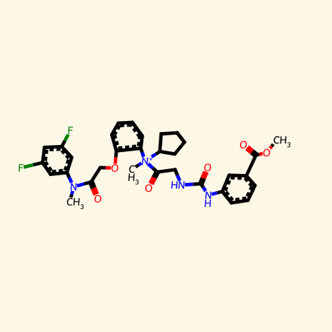 COC(=O)c1cccc(NC(=O)NCC(=O)[N+](C)(c2ccccc2OCC(=O)N(C)c2cc(F)cc(F)c2)C2CCCC2)c1